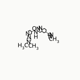 CC(C)N1CCN(c2cc(C(=O)Nc3cc4cc(-c5cnn(C)c5)ccc4nn3)ccn2)CC1